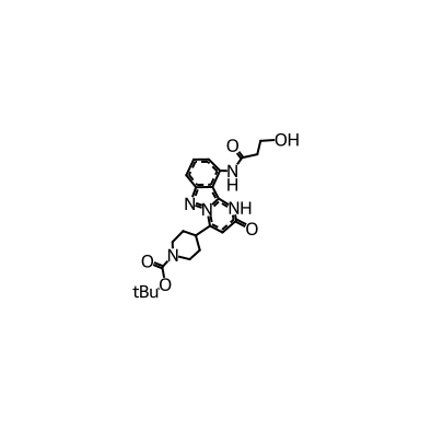 CC(C)(C)OC(=O)N1CCC(c2cc(=O)[nH]c3c4c(NC(=O)CCO)cccc4nn23)CC1